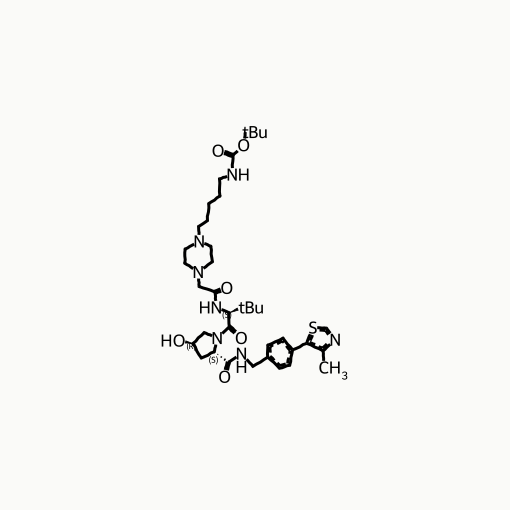 Cc1ncsc1-c1ccc(CNC(=O)[C@@H]2C[C@@H](O)CN2C(=O)[C@@H](NC(=O)CN2CCN(CCCCCNC(=O)OC(C)(C)C)CC2)C(C)(C)C)cc1